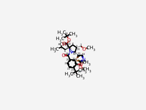 COC[C@H]1C[C@@](CC(C)C)(C(=O)OC(C)(C)C)N(C(=O)c2ccc(C(C)(C)C)c(OC)c2)[C@H]1c1cnc(OC)s1